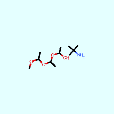 CC(C)(C)N.COC(C)OC(C)OC(C)O